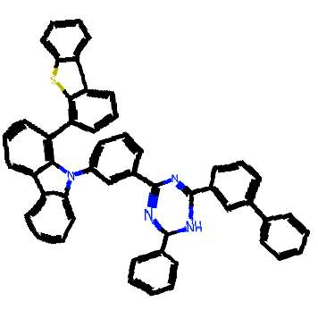 c1ccc(-c2cccc(C3=NC(c4cccc(-n5c6ccccc6c6cccc(-c7cccc8c7sc7ccccc78)c65)c4)=NC(c4ccccc4)N3)c2)cc1